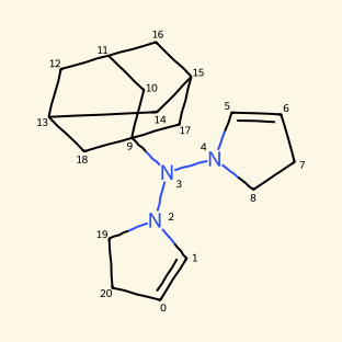 C1=CN(N(N2C=CCC2)C23CC4CC(CC(C4)C2)C3)CC1